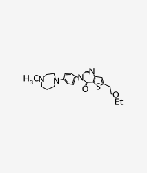 CCOCCc1cc2ncn(-c3ccc(N4CCCN(C)CC4)cc3)c(=O)c2s1